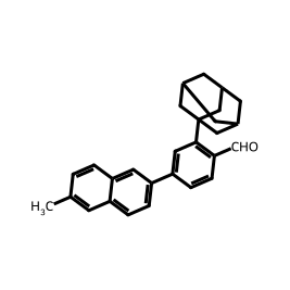 Cc1ccc2cc(-c3ccc(C=O)c(C45CC6CC(CC(C6)C4)C5)c3)ccc2c1